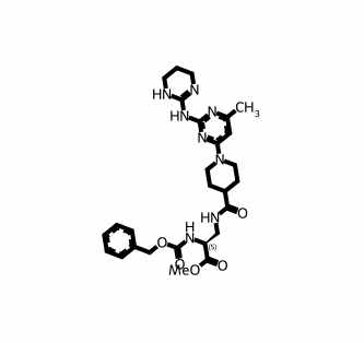 COC(=O)[C@H](CNC(=O)C1CCN(c2cc(C)nc(NC3=NCCCN3)n2)CC1)NC(=O)OCc1ccccc1